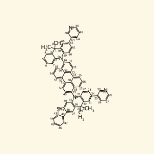 CC1(C)c2ccccc2N(c2ccc3c4cccc5c(N6c7ccc(-c8cccnc8)cc7C(C)(C)c7cc8c(cc76)sc6ccccc68)ccc(c6cccc2c36)c54)c2ccc(-c3cccnc3)cc21